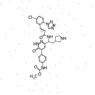 COC(=O)Nc1ccc(-c2cc(C(CC3CCNC3)NC(=O)/C=C/c3cc(Cl)ccc3-n3cnnn3)n[nH]c2=O)cc1